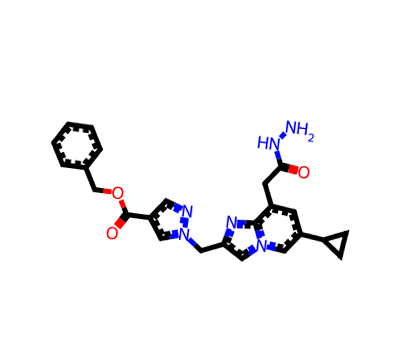 NNC(=O)Cc1cc(C2CC2)cn2cc(Cn3cc(C(=O)OCc4ccccc4)cn3)nc12